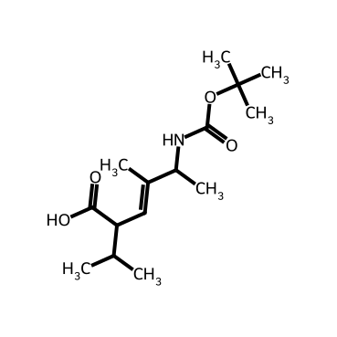 CC(=CC(C(=O)O)C(C)C)C(C)NC(=O)OC(C)(C)C